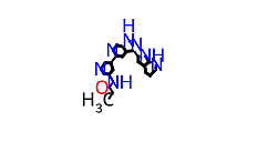 CCC(=O)Nc1cncc(-c2cc3c(-c4cc5cccnc5[nH]4)n[nH]c3cn2)c1